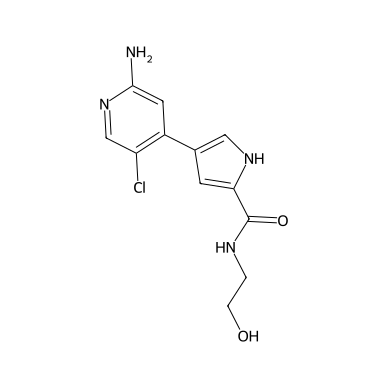 Nc1cc(-c2c[nH]c(C(=O)NCCO)c2)c(Cl)cn1